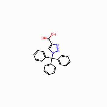 O=C(O)c1cn(C(c2ccccc2)(c2ccccc2)c2ccccc2)nn1